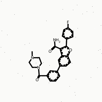 CN1CCN(C(=O)c2cccc(-c3ccc4oc(-c5ccc(F)cc5)c(C(N)=O)c4c3)c2)CC1